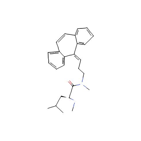 CN[C@@H](CC(C)C)C(=O)N(C)CCC=C1c2ccccc2C=Cc2ccccc21